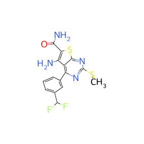 CSc1nc(-c2cccc(C(F)F)c2)c2c(N)c(C(N)=O)sc2n1